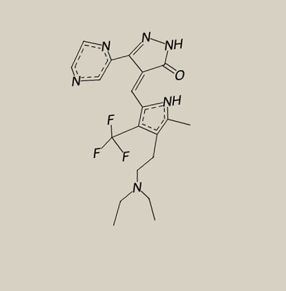 CCN(CC)CCc1c(C)[nH]c(C=C2C(=O)NN=C2c2cnccn2)c1C(F)(F)F